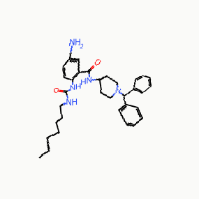 CCCCCCCNC(=O)Nc1ccc(N)cc1C(=O)NC1CCN(C(c2ccccc2)c2ccccc2)CC1